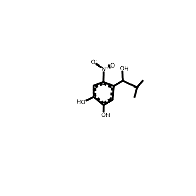 CC(C)C(O)c1cc(O)c(O)cc1[N+](=O)[O-]